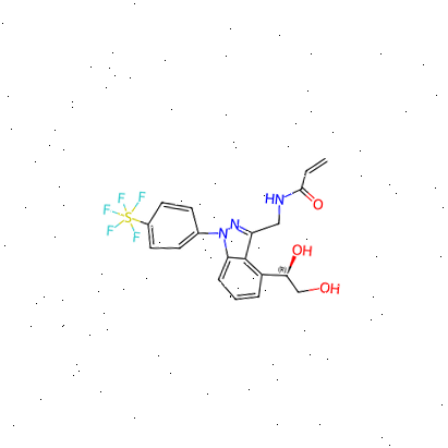 C=CC(=O)NCc1nn(-c2ccc(S(F)(F)(F)(F)F)cc2)c2cccc([C@@H](O)CO)c12